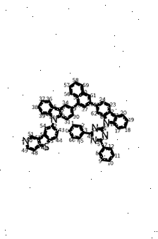 c1ccc(-c2nc(-c3ccccc3)nc(-n3c4ccccc4c4ccc(-c5cc(-c6ccc7c(c6)c6ccccc6n7-c6ccc7sc8ccncc8c7c6)c6ccccc6c5)cc43)n2)cc1